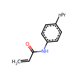 C=CC(=O)Nc1ccc(CCC)cc1